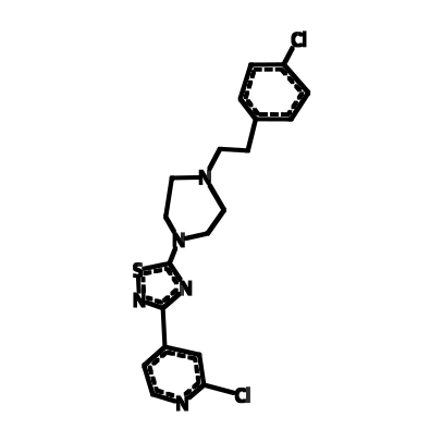 Clc1ccc(CCN2CCN(c3nc(-c4ccnc(Cl)c4)ns3)CC2)cc1